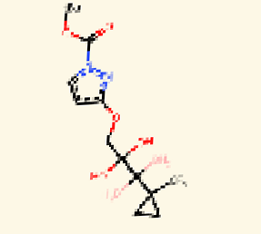 BC(B)(C(O)(O)COc1ccn(C(=O)OC(C)(C)C)n1)C1(C(F)(F)F)CC1